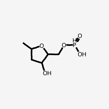 CC1CC(O)C(CO[PH](=O)O)O1